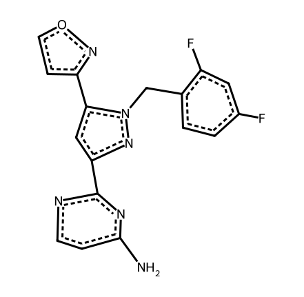 Nc1ccnc(-c2cc(-c3ccon3)n(Cc3ccc(F)cc3F)n2)n1